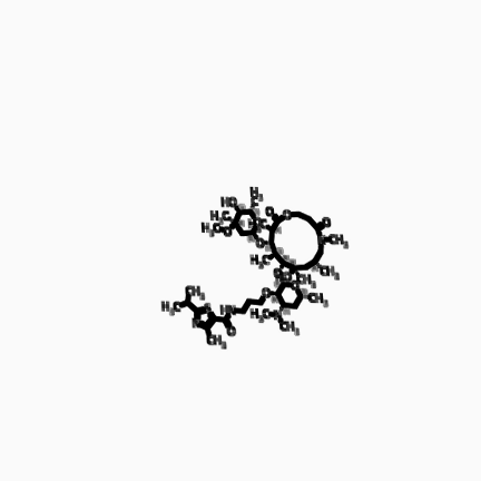 CO[C@]1(C)C[C@H](O[C@H]2[C@H](C)[C@@H](O[C@@H]3O[C@H](C)C[C@H](N(C)C)[C@H]3OCCCNC(=O)c3sc(C(C)C)nc3C)[C@](C)(O)C[C@@H](C)CN(C)C(=O)CCOC(=O)[C@@H]2C)O[C@@H](C)[C@@H]1O